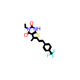 CCn1c(=O)[nH]c2sc(/C=C/c3ccc(C(F)(F)F)cc3)c(C)c2c1=O